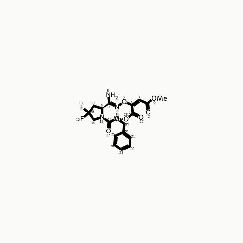 COC(=O)C=C(ON=C(N)[C@@H]1CC(F)(F)CN1C(=O)OCc1ccccc1)C(=O)OC